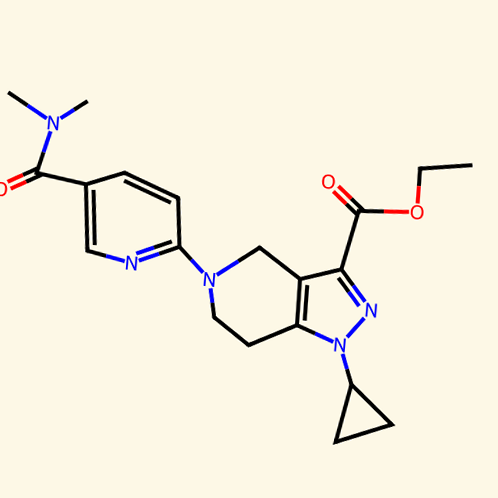 CCOC(=O)c1nn(C2CC2)c2c1CN(c1ccc(C(=O)N(C)C)cn1)CC2